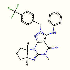 CN1C(=N)c2c(nn(Cc3ccc(C(F)(F)F)cc3)c2Nc2ccccc2)N2C1=N[C@@H]1CCC[C@@H]12